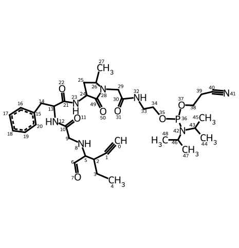 C#CC(CC)C(C=O)NCC(=O)NC(Cc1ccccc1)C(=O)NC1CC(C)N(CC(=O)NCCOP(OCCC#N)N(C(C)C)C(C)C)C1=O